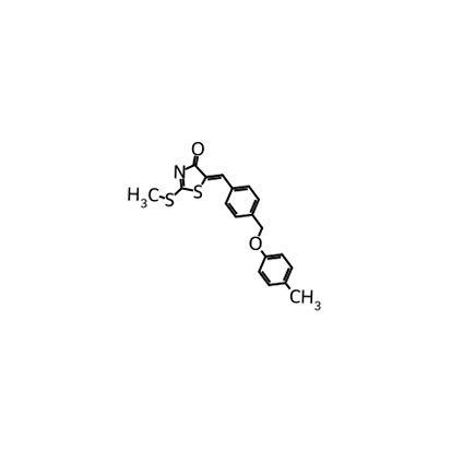 CSC1=NC(=O)/C(=C/c2ccc(COc3ccc(C)cc3)cc2)S1